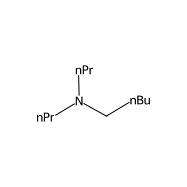 C[CH]CCCN(CCC)CCC